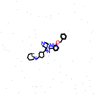 N[N+]12C=CN=CC1=C(C1CCC(CN3CCCCCC3)CC1)N=C2c1cccc(OCc2ccccc2)c1